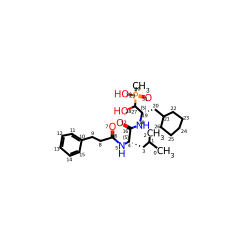 CC(C)C[C@H](NC(=O)CCc1ccccc1)C(=O)N[C@@H](CC1CCCCC1)C(O)P(C)(=O)O